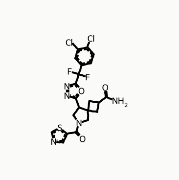 NC(=O)C1CC2(C1)CN(C(=O)c1cncs1)CC2c1nnc(C(F)(F)c2ccc(Cl)c(Cl)c2)o1